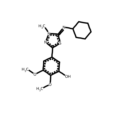 COc1cc(-c2nn(C)c(=NC3CCCCC3)s2)cc(O)c1OC